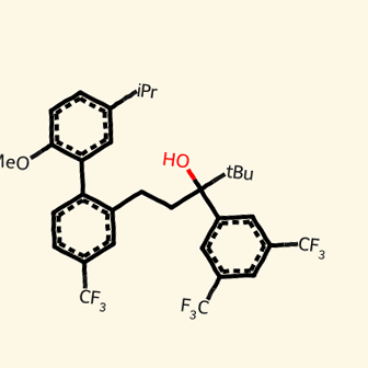 COc1ccc(C(C)C)cc1-c1ccc(C(F)(F)F)cc1CCC(O)(c1cc(C(F)(F)F)cc(C(F)(F)F)c1)C(C)(C)C